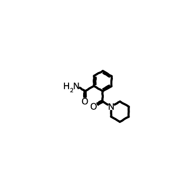 NC(=O)c1ccccc1C(=O)N1CCCCC1